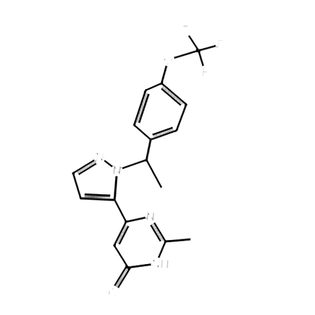 Cc1nc(-c2ccnn2C(C)c2ccc(OC(F)(F)F)cc2)cc(=O)[nH]1